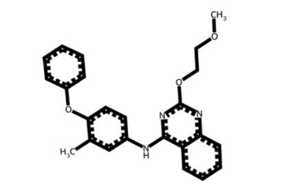 COCCOc1nc(Nc2ccc(Oc3ccccc3)c(C)c2)c2ccccc2n1